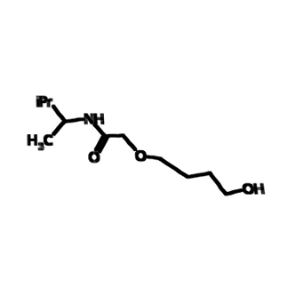 CC(C)C(C)NC(=O)COCCCCO